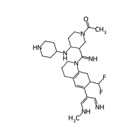 CN/C=C(\C=N)C1=CC2=C(CC1C(F)F)N(C(=N)C1CN(C(C)=O)CCC1NC1CCNCC1)CCC2